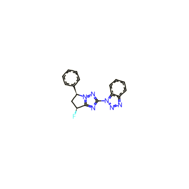 F[C@H]1C[C@@H](c2ccccc2)n2nc(-n3nnc4ccccc43)nc21